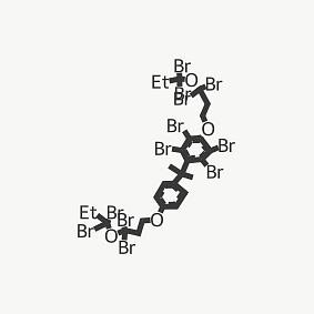 CCC(Br)(Br)OC(Br)(Br)CCOc1ccc(C(C)(C)c2c(Br)c(Br)c(OCCC(Br)(Br)OC(Br)(Br)CC)c(Br)c2Br)cc1